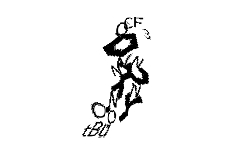 C=CC1CN(c2ccnc3c2c(C2CN(C(=O)OC(C)(C)C)C2)nn3-c2ccc(OC(F)(F)F)cc2)C1